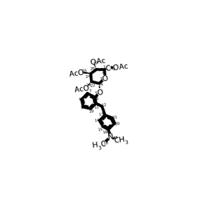 CC(=O)OC[C@H]1O[C@H](Oc2ccccc2Cc2ccc(N(C)C)cc2)[C@H](OC(C)=O)[C@@H](OC(C)=O)[C@@H]1OC(C)=O